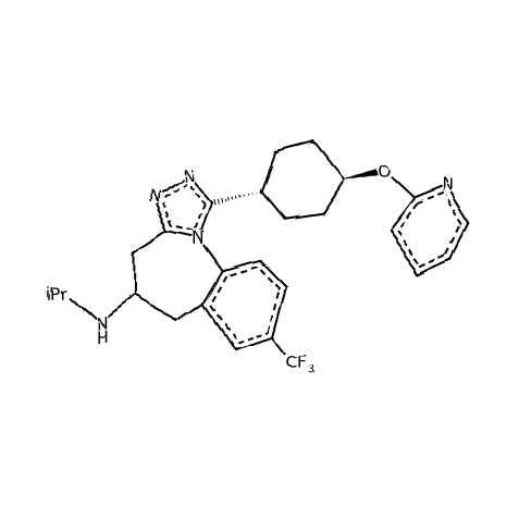 CC(C)NC1Cc2cc(C(F)(F)F)ccc2-n2c(nnc2[C@H]2CC[C@H](Oc3ccccn3)CC2)C1